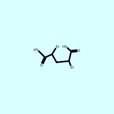 CCC(CC(CC)C(=O)S)C(=O)S